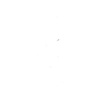 C[C@@]1(c2cc(N)ccc2F)Cn2cc(C#N)nc2C(N)=N1